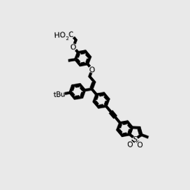 CC1=Cc2cc(C#Cc3ccc(C(=CCOc4ccc(OCC(=O)O)c(C)c4)c4ccc(C(C)(C)C)cc4)cc3)ccc2S1(=O)=O